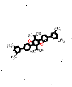 Cc1cc(C)cc(-c2ccc3c(c2)oc2c(=C(C#N)C#N)c4c(oc5cc(-c6cc(C)cc(C(F)(F)F)c6)ccc54)c(=C(C#N)C#N)c23)c1